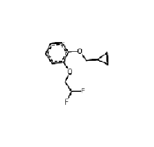 FC(F)COc1ccc[c]c1OCC1CC1